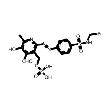 Cc1nc(N=Nc2ccc(S(=O)(=O)NCC(C)C)cc2)c(COP(=O)(O)O)c(C=O)c1O